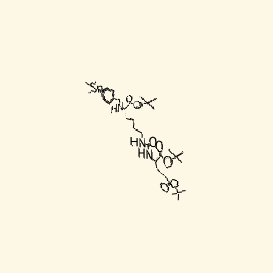 CC(C)(C)OC(=O)CCC(NC(=O)NCCCC[C@H](NCc1cc[c]([Sn]([CH3])([CH3])[CH3])cc1)C(=O)OC(C)(C)C)C(=O)OC(C)(C)C